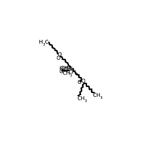 CCCCCCCCCOC(=O)CCCCCCCN(CCCCCCCC(=O)OC(CCCCCCCC)CCCCCCCC)C(C)(C)CC(C)(C)C(=O)O